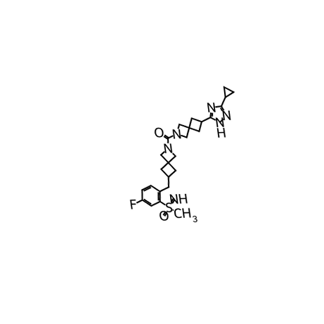 CS(=N)(=O)c1cc(F)ccc1CC1CC2(C1)CN(C(=O)N1CC3(CC(c4nc(C5CC5)n[nH]4)C3)C1)C2